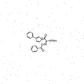 CCCCCCC(=NOC(=O)c1ccccc1)C(=O)[SH]1C=CC(c2ccccc2)=C1